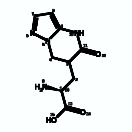 N[C@@H](CC1Cn2nccc2NC1=O)C(=O)O